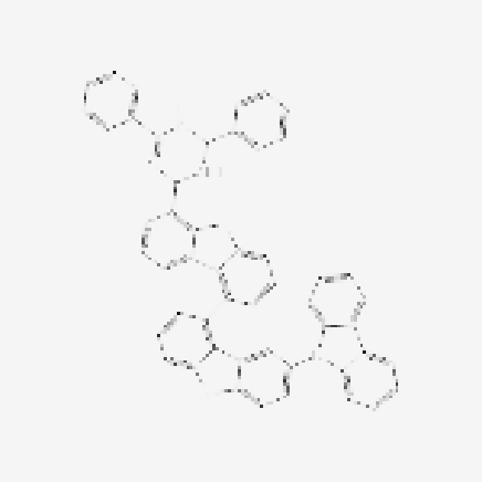 c1ccc(C2=NC(c3cccc4c3sc3cccc(-c5cccc6sc7ccc(-n8c9ccccc9c9ccccc98)cc7c56)c34)NC(c3ccccc3)N2)cc1